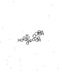 N[C@@H](CC(=O)O)C(=O)N1CC(Oc2ccc3c(c2C(=O)O)C[B-](O)(O)CC3)C1